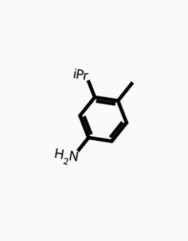 Cc1ccc(N)cc1C(C)C